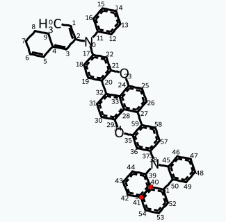 C/C=C(\C=C1\C=CCCC1)N(c1ccccc1)c1ccc2c(c1)Oc1ccc3c4c(ccc-2c14)Oc1cc(N(c2ccccc2)c2ccccc2-c2ccccc2)ccc1-3